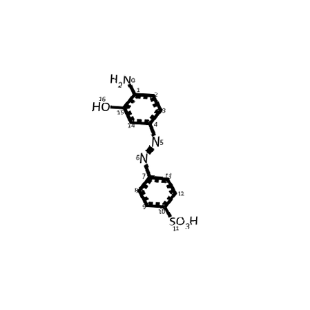 Nc1ccc(N=Nc2ccc(S(=O)(=O)O)cc2)cc1O